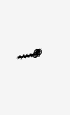 CCCCCCCC=CCO[Si](C)(OC)OC